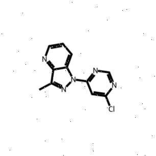 Cc1nn(-c2cc(Cl)ncn2)c2cccnc12